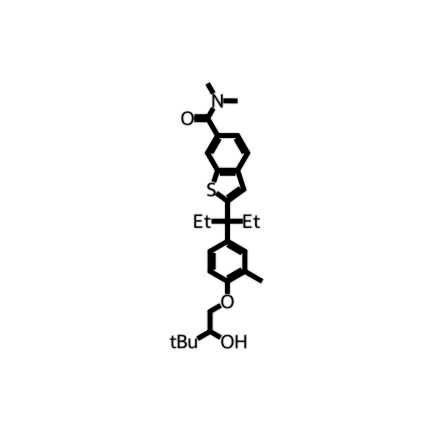 CCC(CC)(c1ccc(OCC(O)C(C)(C)C)c(C)c1)c1cc2ccc(C(=O)N(C)C)cc2s1